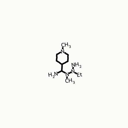 CCN(N)N(C)C(N)C1CCN(C)CC1